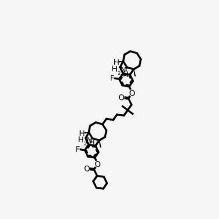 CC(C)(CCCCC1CC[C@H]2Cc3c(F)cc(OC(=O)C4CCCCC4)cc3[C@@](C)(CC1)[C@H]2N)CC(=O)Oc1cc(F)c2c(c1)[C@@]1(C)CCCCC[C@@H](C2)[C@@H]1N